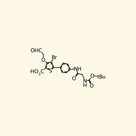 CC(C)(C)OC(=O)NCC(=O)Nc1ccc(-c2sc(C(=O)O)c(OCC=O)c2Br)cc1